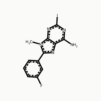 Cn1c(-c2cccc(F)c2)nc2c(N)nc(I)nc21